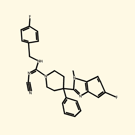 Cn1c(C2(c3ccccc3)CCN(/C(=N\C#N)NCc3ccc(F)cc3)CC2)nc2cc(F)ccc21